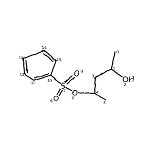 CC(O)CC(C)OS(=O)(=O)c1ccccc1